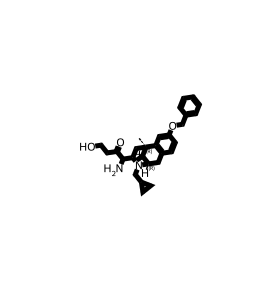 C[C@H]1[C@H]2Cc3ccc(OCc4ccccc4)cc3[C@]1(C)CC(C(N)C(=O)CCO)N2CC1CC1